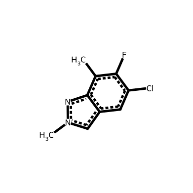 Cc1c(F)c(Cl)cc2cn(C)nc12